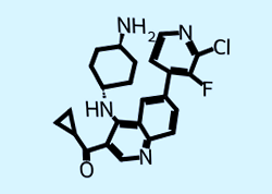 N[C@H]1CC[C@H](Nc2c(C(=O)C3CC3)cnc3ccc(-c4ccnc(Cl)c4F)cc23)CC1